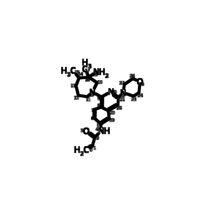 C=CC(=O)Nc1ccc2c(N3CCCC(C)C(C)(N)C3)nc(N3CCOCC3)cc2c1